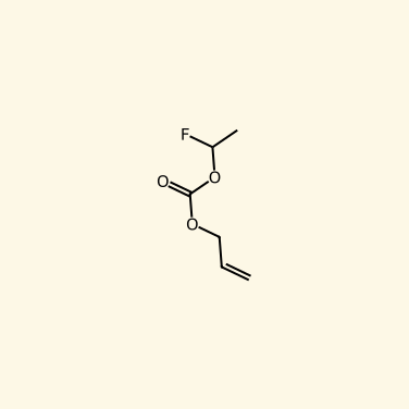 C=CCOC(=O)OC(C)F